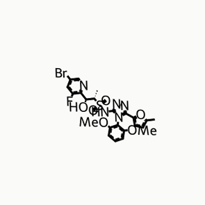 COc1cccc(OC)c1-n1c(NS(=O)(=O)[C@@H](C)[C@@H](O)c2ncc(Br)cc2F)nnc1-c1ccc(C)o1